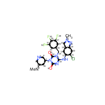 CNc1cncc(-n2c(=O)nc(Nc3cc4cn(C)nc4cc3Cl)n(Cc3cc(F)c(F)c(F)c3)c2=O)c1